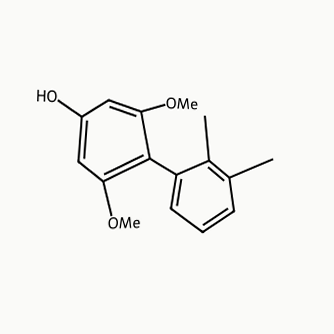 COc1cc(O)cc(OC)c1-c1cccc(C)c1C